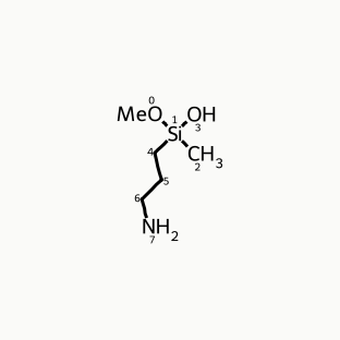 CO[Si](C)(O)CCCN